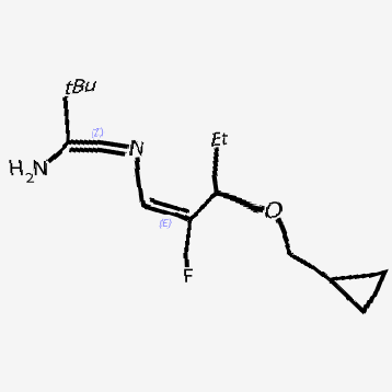 CCC(OCC1CC1)/C(F)=C\N=C(/N)C(C)(C)C